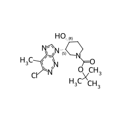 Cc1c(Cl)nnc2c1ncn2[C@H]1CN(C(=O)OC(C)(C)C)CC[C@H]1O